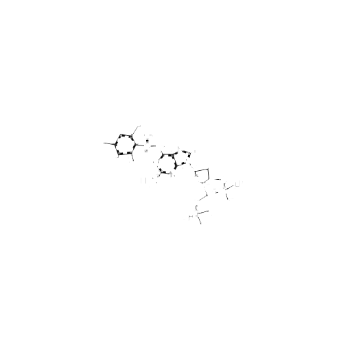 Cc1cc(C)c(S(=O)(=O)Oc2nc(N)nc3c2ncn3[C@H]2C[C@@H](O[Si](C)(C)C(C)(C)C)[C@@H](CO[Si](C)(C)C(C)(C)C)O2)c(C)c1